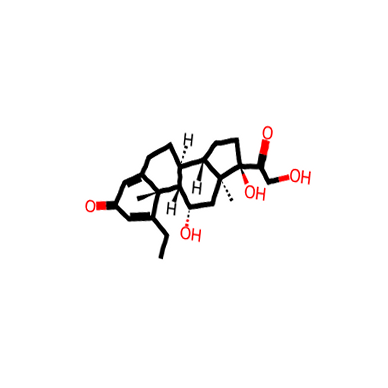 CCC1=CC(=O)C=C2CC[C@@H]3[C@H]([C@@H](O)C[C@@]4(C)[C@H]3CC[C@]4(O)C(=O)CO)[C@]12C